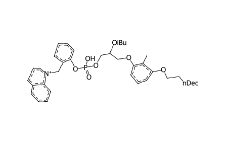 CCCCCCCCCCCCOc1cccc(OCC(COP(=O)(O)Oc2ccccc2C[n+]2cccc3ccccc32)OCC(C)C)c1C